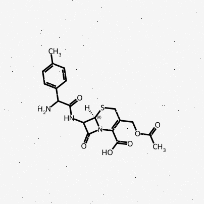 CC(=O)OCC1=C(C(=O)O)N2C(=O)C(NC(=O)C(N)c3ccc(C)cc3)[C@H]2SC1